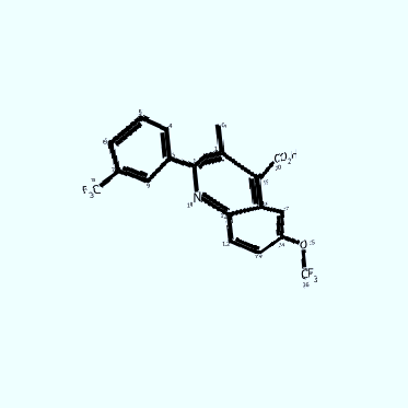 Cc1c(-c2cccc(C(F)(F)F)c2)nc2ccc(OC(F)(F)F)cc2c1C(=O)O